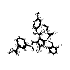 CCOC(=O)N(Cc1c(F)cccc1F)c1sc(Br)c(CN(C)c2cccc(C(=O)OC)c2)c1C(=O)Nc1ccc(OC)nn1